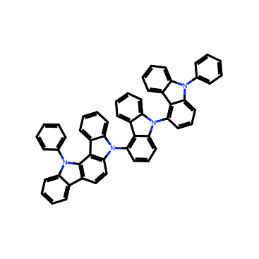 c1ccc(-n2c3ccccc3c3c(-n4c5ccccc5c5c(-n6c7ccccc7c7c6ccc6c8ccccc8n(-c8ccccc8)c67)cccc54)cccc32)cc1